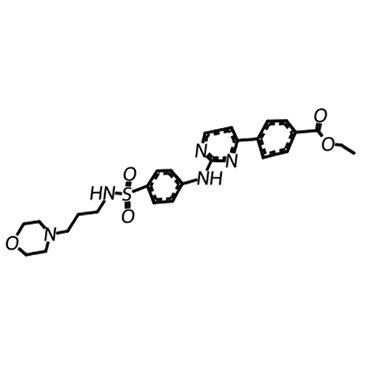 CCOC(=O)c1ccc(-c2ccnc(Nc3ccc(S(=O)(=O)NCCCN4CCOCC4)cc3)n2)cc1